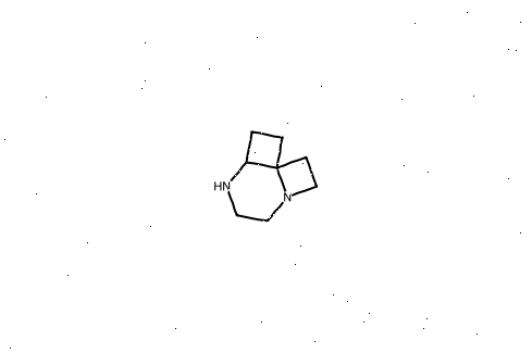 C1CN2CCC23CCC3N1